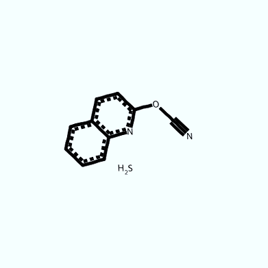 N#COc1ccc2ccccc2n1.S